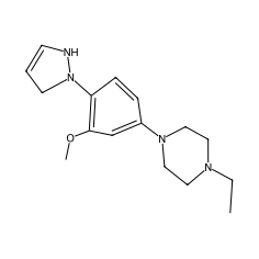 CCN1CCN(c2ccc(N3CC=CN3)c(OC)c2)CC1